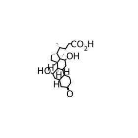 C[C@H](CCC(=O)O)[C@H]1CC[C@H]2[C@@H]3[C@H](O)C[C@H]4CC(=O)CC[C@]4(C)[C@H]3C[C@H](O)[C@]12C